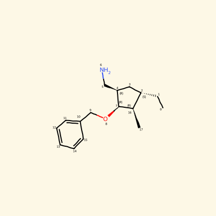 CC[C@H]1C[C@H](CN)[C@H](OCc2ccccc2)[C@@H]1C